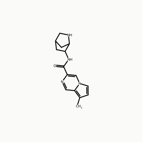 Cc1ccn2cc(C(=O)NC3CC4CNC3C4)ncc12